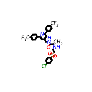 C=C(NCCS(=O)(=O)c1ccc(Cl)cc1)C(=O)NCc1cc(-c2ccc(C(F)(F)F)cc2)nc(-c2ccc(C(F)(F)F)cc2)c1